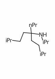 CCCC(CCC(C)C)(CCC(C)C)NC(C)C